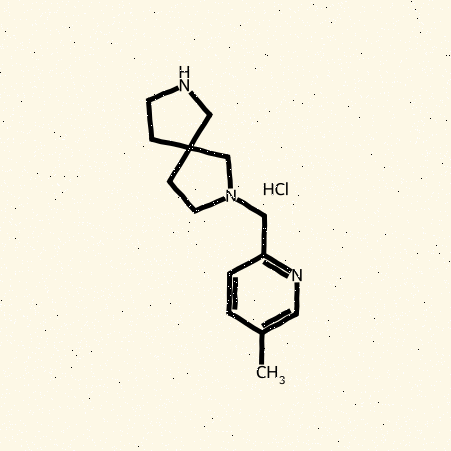 Cc1ccc(CN2CCC3(CCNC3)C2)nc1.Cl